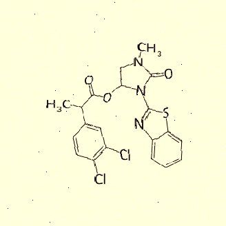 CC(C(=O)OC1CN(C)C(=O)N1c1nc2ccccc2s1)c1ccc(Cl)c(Cl)c1